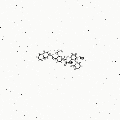 COc1cc([C@H](Nc2ccc(C#N)cc2)C(=O)NCc2ccccc2)ccc1OCc1ccc2cccnc2c1